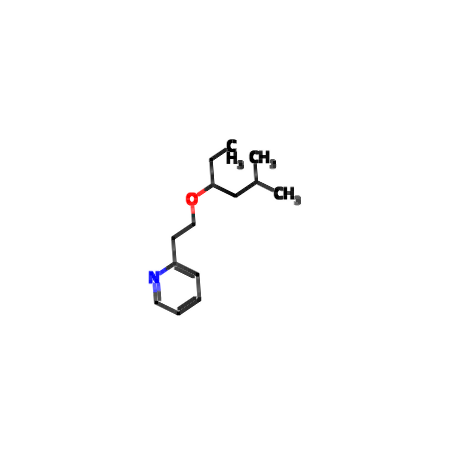 CCC(CC(C)C)OCCc1ccccn1